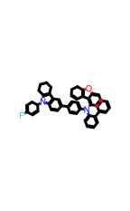 FC1=CCC(n2c3c(c4cc(-c5ccc(N(c6ccccc6-c6ccccc6)c6cccc7oc8c(c67)C=CCC8)cc5)ccc42)CCCC3)C=C1